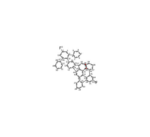 Fc1cc(-c2ccccc2)c(-c2ccc3c(c2)-c2cccc4c(-c5c(-c6ccccc6)cc(F)cc5-c5ccccc5)ccc-3c24)c(-c2ccccc2)c1